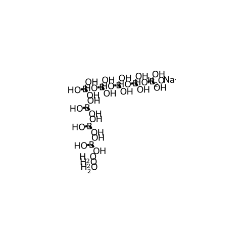 O.O.O.O.OB(O)O.OB(O)O.OB(O)O.OB(O)O.OB(O)O.OB(O)O.OB(O)O.OB(O)O.[Na]